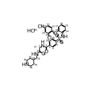 C[C@H](NC(=O)c1ccc(S(=O)(=O)Nc2ccccc2Oc2ccc(Cl)cc2Cl)cc1)C(=O)NCC1CCNCC1.Cl